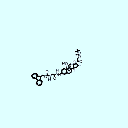 C[C@@H]1C[C@H]2[C@@H]3CCC4=C/C(=N/NC(=O)CNC(=O)OCC5c6ccccc6-c6ccccc65)C=C[C@]4(C)[C@@]3(F)[C@@H](O)C[C@@]23O[C@]13C(=O)CO[Si](C)(C)C(C)(C)C